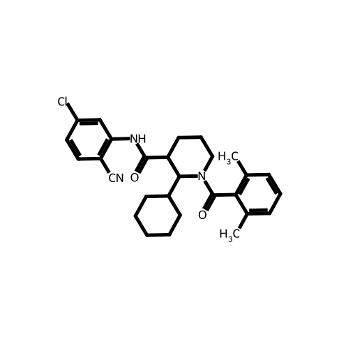 Cc1cccc(C)c1C(=O)N1CCCC(C(=O)Nc2cc(Cl)ccc2C#N)C1C1CCCCC1